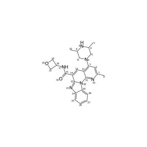 Cc1cc(N2CC(C)NC(C)C2)c2cc(C(=O)NC3COC3)c3nc4ccccc4n3c2n1